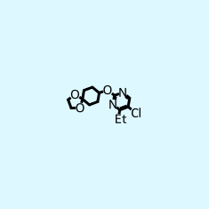 CCc1nc(OC2CCC3(CC2)OCCO3)ncc1Cl